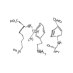 CC(=O)O.CCCC(=O)Nc1ccc(C=O)cc1.NCCCC[C@H](N)C(=O)O.NCCc1ccccc1